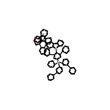 c1ccc(-c2cccc([Si](c3ccccc3)(c3cccc(-c4ccccc4)c3)c3cc(-c4ccccc4)c(-n4c5ccccc5c5cc(-n6c7ccccc7c7cccc(-c8ccccc8-c8cccc9sc%10ccccc%10c89)c76)ccc54)c(-c4ccccc4)c3)c2)cc1